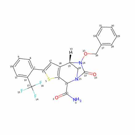 NC(=O)C1c2sc(-c3ccccc3C(F)(F)F)cc2[C@H]2CN1C(=O)N2OCc1ccccc1